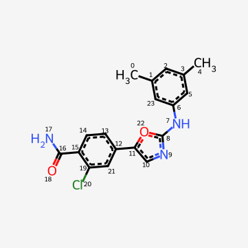 Cc1cc(C)cc(Nc2ncc(-c3ccc(C(N)=O)c(Cl)c3)o2)c1